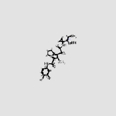 Cc1c(C(=O)C(=O)NC2(/C(=C/N)N=N)CC2)c2n(c1C(=O)Nc1ccc(F)c(F)c1)CCC2